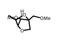 COCC12COC(C(C)O1)[C@H]2OC